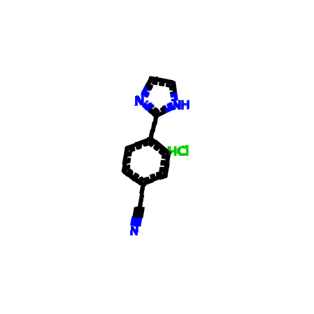 Cl.N#Cc1ccc(-c2ncc[nH]2)cc1